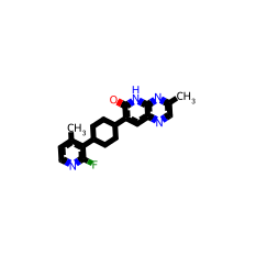 Cc1cnc2cc(C3CCC(c4c(C)ccnc4F)CC3)c(=O)[nH]c2n1